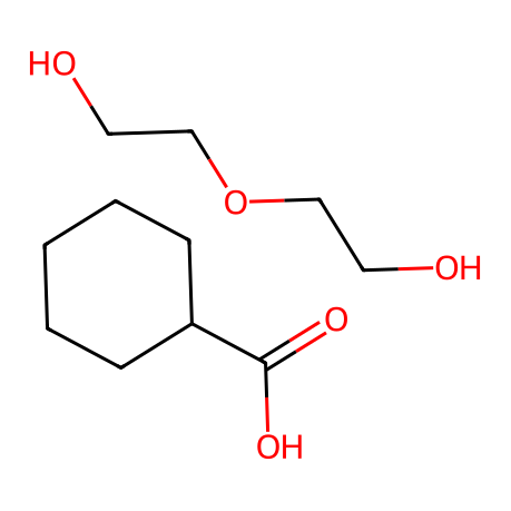 O=C(O)C1CCCCC1.OCCOCCO